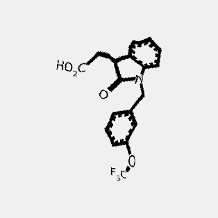 O=C(O)CC1C(=O)N(Cc2cccc(OC(F)(F)F)c2)c2ccccc21